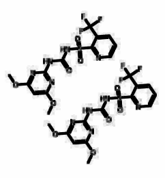 COc1cc(OC)nc(NC(=O)NS(=O)(=O)c2ncccc2C(F)(F)F)n1.COc1cc(OC)nc(NC(=O)NS(=O)(=O)c2ncccc2C(F)(F)F)n1